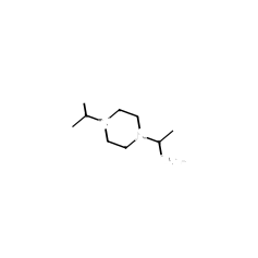 CSC(C)N1CCN(C(C)C(C)C)CC1